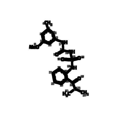 COc1cc(C)nc(NC(=O)NS(=O)(=O)Nc2ccccc2C(=O)N(C)C)c1